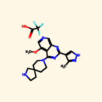 COc1cncc2nc(-c3c[nH]nc3C)nc(N3CCC4(CCNC4)CC3)c12.O=C(O)C(F)(F)F